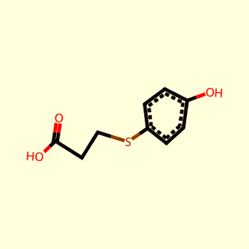 O=C(O)CCSc1ccc(O)cc1